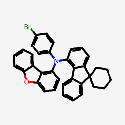 Brc1ccc(N(c2cccc3c2-c2ccccc2C32CCCCC2)c2cccc3oc4ccccc4c23)cc1